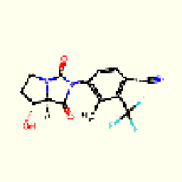 Cc1c(N2C(=O)[C@@H]3[C@H](O)CCN3C2=O)ccc(C#N)c1C(F)(F)F